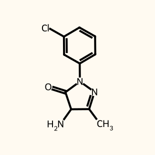 CC1=NN(c2cccc(Cl)c2)C(=O)C1N